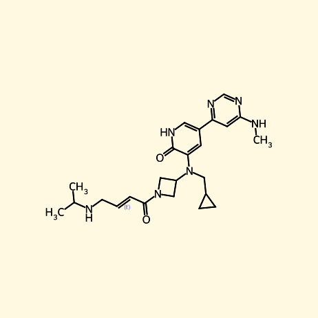 CNc1cc(-c2c[nH]c(=O)c(N(CC3CC3)C3CN(C(=O)/C=C/CNC(C)C)C3)c2)ncn1